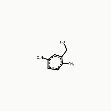 Cc1ccc([N+](=O)[O-])cc1[CH]O